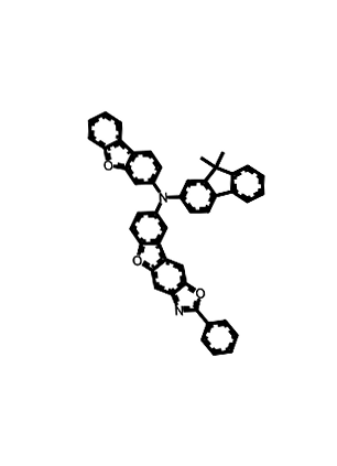 CC1(C)c2ccccc2-c2ccc(N(c3ccc4c(c3)oc3ccccc34)c3ccc4oc5cc6nc(-c7ccccc7)oc6cc5c4c3)cc21